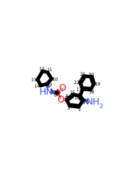 Nc1ccc(OC(=O)NC2CCCCC2)cc1-c1ccccc1